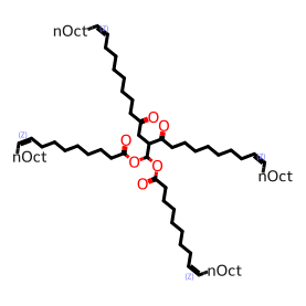 CCCCCCCC/C=C\CCCCCCCC(=O)CC(C(=O)CCCCCCC/C=C\CCCCCCCC)C(OC(=O)CCCCCCC/C=C\CCCCCCCC)OC(=O)CCCCCCC/C=C\CCCCCCCC